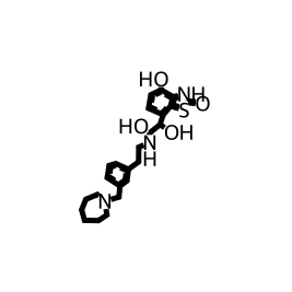 O=c1[nH]c2c(O)ccc(C(O)C(O)NCCc3cccc(CN4CCCCCC4)c3)c2s1